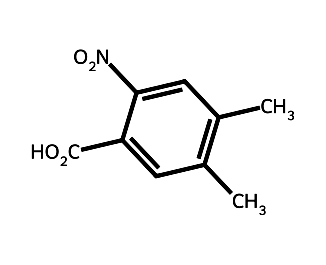 Cc1cc(C(=O)O)c([N+](=O)[O-])cc1C